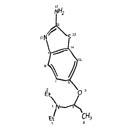 CCN(CC)C(C)Oc1ccc2nc(N)sc2c1